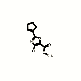 COC(=O)c1sc(C2=CCCC2)nc1Cl